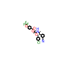 C[C@H](NC(=O)C(C)(C)OC(=O)c1ccc(OC(F)(F)F)cc1)[C@@H](Cc1ccc(Cl)cc1)c1cccc(C#N)c1